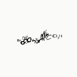 O=C(O)Cn1nnc(-c2cnc(N3CCC4(CC3)CC(O)c3c(Br)cccc3O4)s2)n1